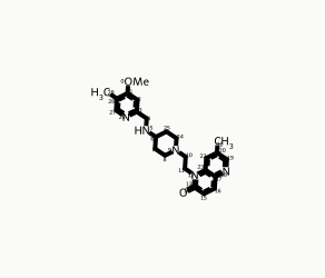 COc1cc(CNC2CCN(CCn3c(=O)ccc4ncc(C)cc43)CC2)ncc1C